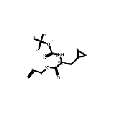 C=CCOC(=O)[C@H](CC1CC1)NC(=O)OC(C)(C)C